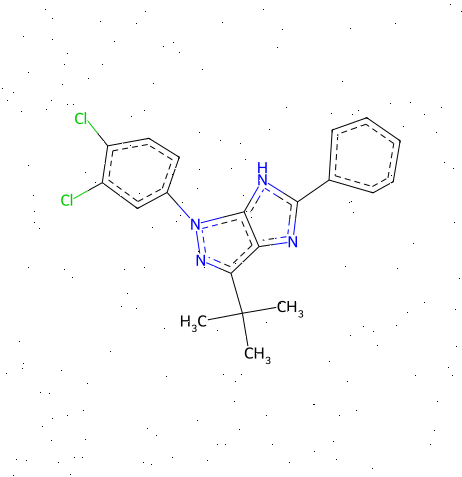 CC(C)(C)c1nn(-c2ccc(Cl)c(Cl)c2)c2[nH]c(-c3ccccc3)nc12